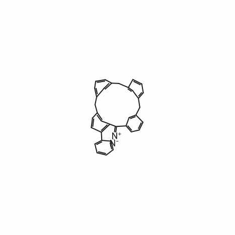 [N-]=[N+]=C1c2cccc(c2)Cc2cccc(c2)Cc2cccc(c2)Cc2ccc(-c3ccccc3)c1c2